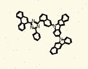 c1ccc(-c2nc(-c3cccc4cc(-n5c6ccc(-n7c8ccccc8c8cc9ccccc9cc87)cc6c6cc7ccccc7cc65)ccc34)nc(-c3cc4ccccc4c4ccccc34)n2)cc1